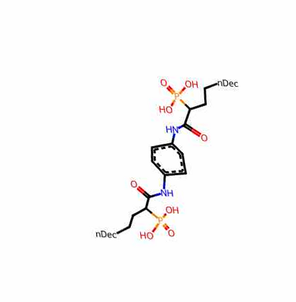 CCCCCCCCCCCCC(C(=O)Nc1ccc(NC(=O)C(CCCCCCCCCCCC)P(=O)(O)O)cc1)P(=O)(O)O